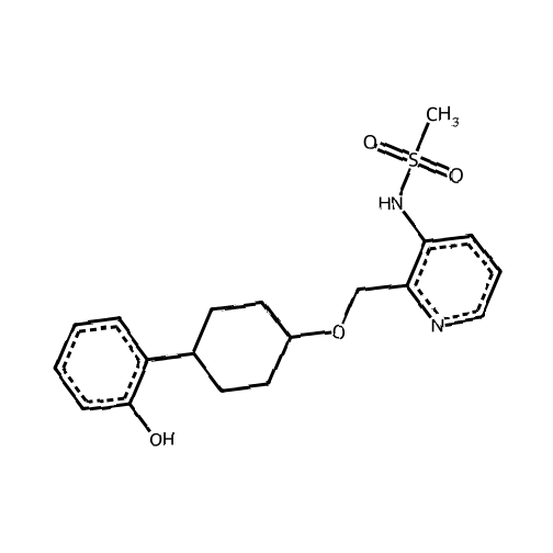 CS(=O)(=O)Nc1cccnc1COC1CCC(c2ccccc2O)CC1